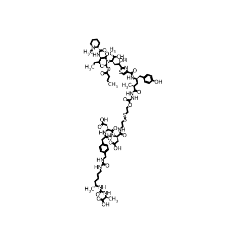 CCCC(=O)OCN(C(=O)[C@@H](NC(=O)[C@H]1CCCCN1C)C(C)CC)[C@H](C[C@@H](O)c1nc(C(=O)N[C@@H](Cc2ccc(O)cc2)C[C@H](C)C(=O)NNC(=O)OCCSSCCNC(=O)[C@@H](CC(=O)O)NC(=O)[C@@H](CC(=O)O)NC(=O)Cc2ccc(CNC(=O)NCCCC[C@@H](C)NC(=O)N[C@@H](C)C(=O)O)cc2)cs1)C(C)C